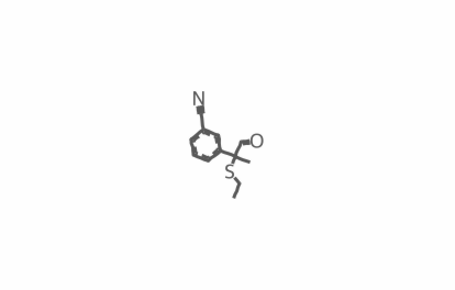 CCSC(C)(C=O)c1cccc(C#N)c1